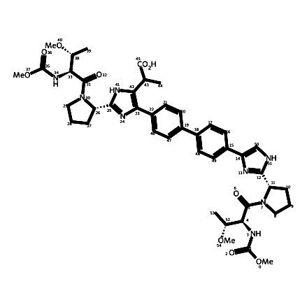 COC(=O)N[C@H](C(=O)N1CCC[C@H]1c1nc(-c2ccc(-c3ccc(-c4nc([C@@H]5CCCN5C(=O)[C@@H](NC(=O)OC)[C@@H](C)OC)[nH]c4C(C)C(=O)O)cc3)cc2)c[nH]1)[C@@H](C)OC